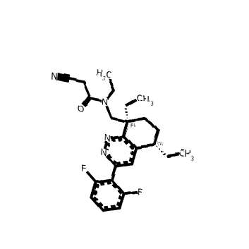 CC[C@H]1CC[C@](CC)(CN(CC)C(=O)CC#N)c2nnc(-c3c(F)cccc3F)cc21